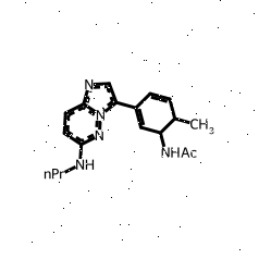 CCCNc1ccc2ncc(C3=CC(NC(C)=O)C(C)C=C3)n2n1